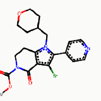 CC(C)(C)OC(=O)N1CCc2c(c(Br)c(-c3ccncc3)n2CC2CCOCC2)C1=O